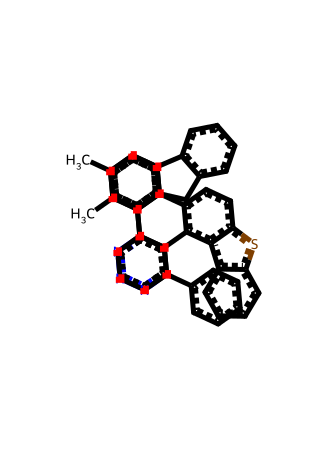 Cc1cc2c(c(-c3nnnc(-c4ccccc4)c3-c3c(-c4ccccc4-c4ccccc4)ccc4sc5ccccc5c34)c1C)Cc1ccccc1-2